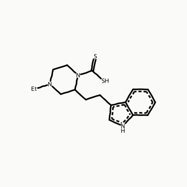 CCN1CCN(C(=S)S)C(CCc2c[nH]c3ccccc23)C1